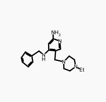 CCN1CCN(Cc2cnc(N)cc2NCc2ccccc2)CC1